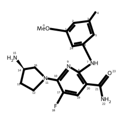 COc1cc(C)cc(Nc2nc(N3CC[C@@H](N)C3)c(F)cc2C(N)=O)c1